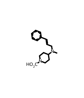 CN(CC=Cc1ccccc1)C1CCN(C(=O)O)CC1